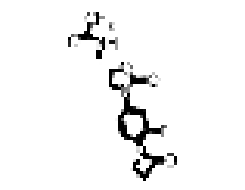 CC(=O)NC[C@H]1CN(c2ccc(N3CCC3=O)c(F)c2)C(=O)O1